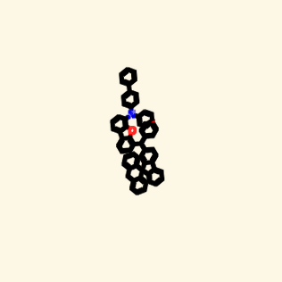 c1ccc(-c2ccc(N(c3ccccc3)c3cccc4c3oc3c(C(c5ccccc5)c5ccc6c(c5)C5(c7ccccc7Cc7ccccc75)c5ccccc5-6)cccc34)cc2)cc1